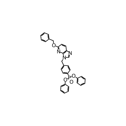 O=P(Oc1ccccc1)(Oc1ccccc1)c1ccc(Cn2cnc3ccc(OCc4ccccc4)nc32)cc1